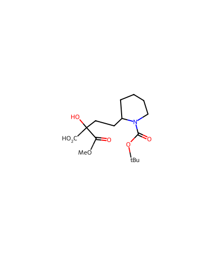 COC(=O)C(O)(CCC1CCCCN1C(=O)OC(C)(C)C)C(=O)O